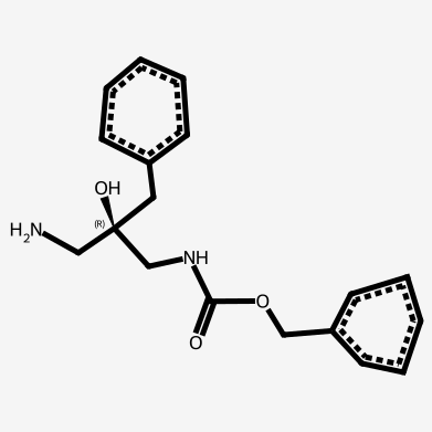 NC[C@@](O)(CNC(=O)OCc1ccccc1)Cc1ccccc1